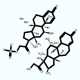 C[C@@H]1C[C@H]2[C@@H]3CCC4=CC(=O)C=C[C@]4(C)[C@@]3(F)[C@@H](O)C[C@]2(C)[C@@]1(O)C(=O)CO.C[C@]12C=CC(=O)C=C1CC[C@@H]1[C@@H]2[C@@H](O)C[C@@]2(C)[C@H]1CC[C@]2(O)C(=O)COP(=O)([O-])[O-].[Na+].[Na+]